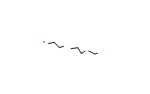 CCCCCCCCSCCSSCCSCC